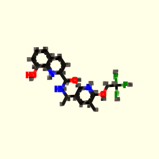 Cc1cc(C(C)NC(=O)c2ccc3cccc(O)c3n2)cnc1OCC(F)(F)F